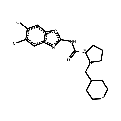 O=C(Nc1nc2cc(Cl)c(Cl)cc2[nH]1)[C@@H]1CCCN1CC1CCOCC1